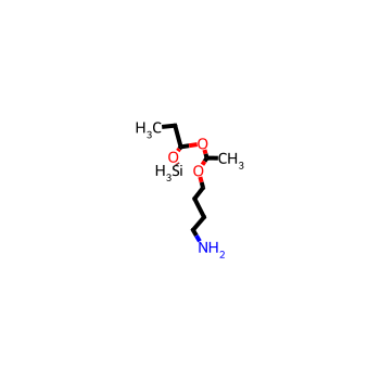 CCC(O[SiH3])OC(C)OCCCCN